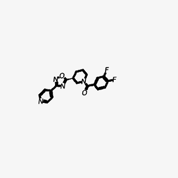 O=C(c1ccc(F)c(F)c1)N1CCC[C@H](c2nc(-c3ccncc3)no2)C1